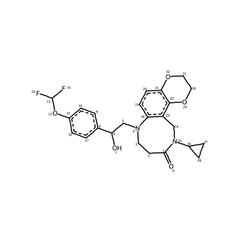 O=C1CCN(CC(O)c2ccc(OC(F)F)cc2)c2ccc3c(c2CN1C1CC1)OCCO3